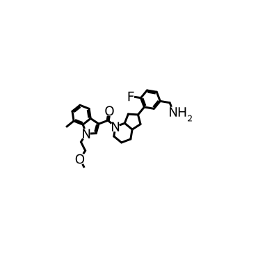 COCCn1cc(C(=O)N2CCCC3CC(c4cc(CN)ccc4F)CC32)c2cccc(C)c21